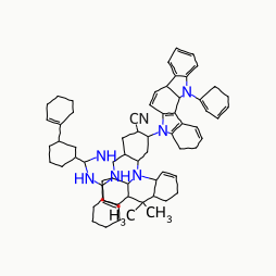 CC1(C)C2CCC=CC2N(C2CC(n3c4c(c5c3CCC=C5)C3C(C=C4)c4ccccc4N3C3=CC=CCC3)C(C#N)CC2C2NC(C3=CCCCC3)NC(C3CCCC(C4=CCCCC4)C3)N2)C2CCCCC21